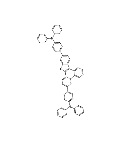 c1ccc(N(c2ccccc2)c2ccc(-c3ccc4c(c3)oc3c5ccc(-c6ccc(N(c7ccccc7)c7ccccc7)cc6)cc5c5ccccc5c43)cc2)cc1